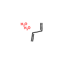 C=CC=C.O.O